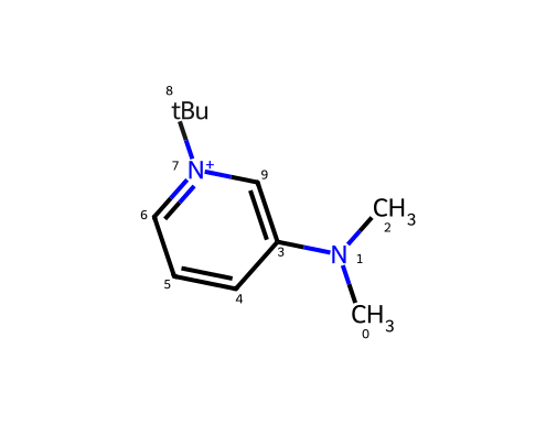 CN(C)c1ccc[n+](C(C)(C)C)c1